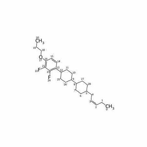 CC/C=C\CC1CCC(C2CCC(c3ccc(OCCC)c(F)c3F)CC2)CC1